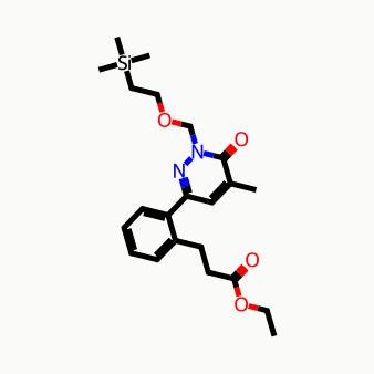 CCOC(=O)CCc1ccccc1-c1cc(C)c(=O)n(COCC[Si](C)(C)C)n1